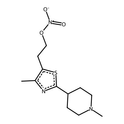 Cc1nc(C2CCN(C)CC2)sc1CCO[N+](=O)[O-]